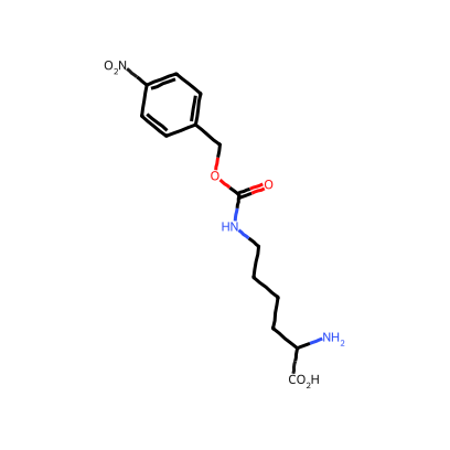 NC(CCCCNC(=O)OCc1ccc([N+](=O)[O-])cc1)C(=O)O